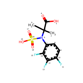 CC(C)(C(=O)O)N(c1ccc(F)c(F)c1F)S(=O)(=O)O